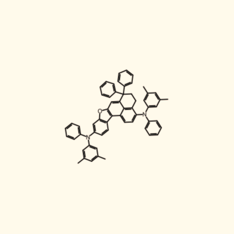 Cc1cc(C)cc(N(c2ccccc2)c2ccc3c(c2)oc2cc4c5c(c(N(c6ccccc6)c6cc(C)cc(C)c6)ccc5c23)CCC4(c2ccccc2)c2ccccc2)c1